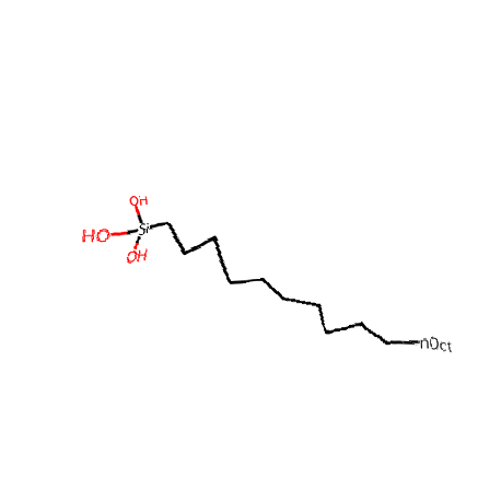 CCCCCCCCCCCCCCCCCC[Si](O)(O)O